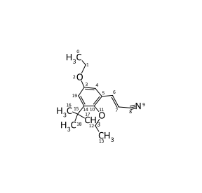 CCOc1cc(C=CC#N)c(OCC)c(C(C)(C)C)c1